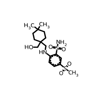 CC1(C)CCC(CO)(CNc2ccc(S(C)(=O)=O)cc2S(N)(=O)=O)CC1